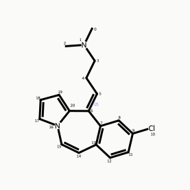 CN(C)CC/C=C1/c2cc(Cl)ccc2C=Cn2cccc21